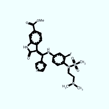 COC(=O)c1ccc2c(c1)NC(=O)C2=C(Nc1ccc(N(CCN(C)C)S(C)(=O)=O)c(F)c1)c1ccsc1